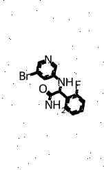 NC(=O)C(Nc1cncc(Br)c1)c1ccccc1F